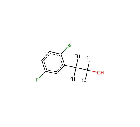 [2H]C([2H])(O)C([2H])([2H])c1cc(F)ccc1Br